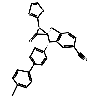 Cc1ccc(-c2ccc([C@H]3c4cc(C#N)ccc4C[C@@]34C(=O)N4c3nccs3)cc2)cc1